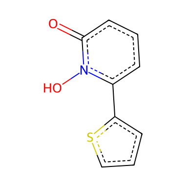 O=c1cccc(-c2cccs2)n1O